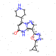 O=c1cc(C2CCNCC2)n2ncc(-c3nnc(C4CC4)o3)c2[nH]1